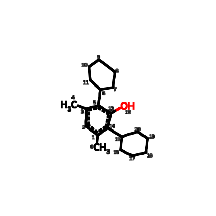 Cc1cc(C)c(C2CCCCC2)c(O)c1C1CCCCC1